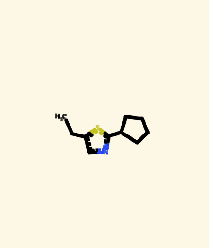 CCc1cnc(C2CCCC2)s1